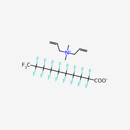 C=CC[N+](C)(C)CC=C.O=C([O-])C(F)(F)C(F)(F)C(F)(F)C(F)(F)C(F)(F)C(F)(F)C(F)(F)C(F)(F)C(F)(F)F